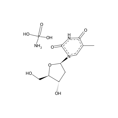 Cc1cn([C@H]2C[C@H](O)[C@@H](CO)O2)c(=O)[nH]c1=O.NP(=O)(O)O